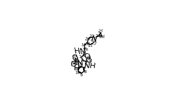 O=C(CC1C(=O)Nc2ccccc2N1[SH](=O)=O)NCCC1CCN(C2CC2)CC1